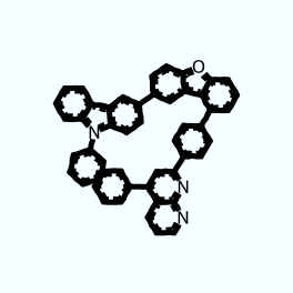 c1ccc(-c2cc(-c3ccc(-c4cccc5oc6ccc(-c7ccc8c(c7)c7ccccc7n8-c7ccccc7)cc6c45)cc3)nc3ncccc23)cc1